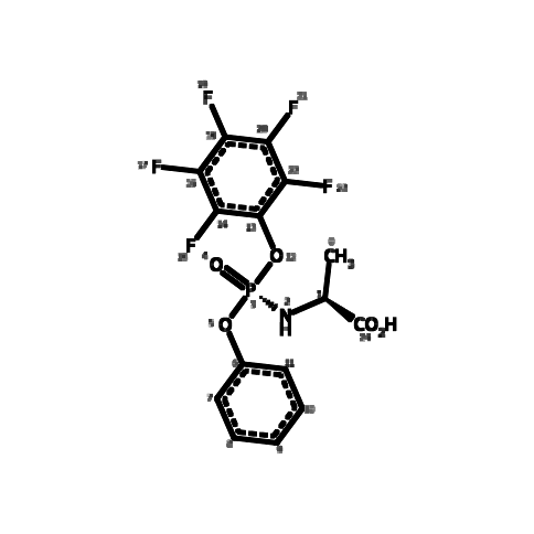 C[C@H](N[P@@](=O)(Oc1ccccc1)Oc1c(F)c(F)c(F)c(F)c1F)C(=O)O